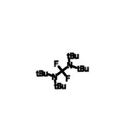 CC(C)(C)N(C(C)(C)C)C(F)(F)N(C(C)(C)C)C(C)(C)C